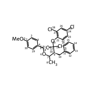 COc1ccc(COC(C)[C@H](Cc2ccccc2)C(C)(C)Oc2ccc(Cl)cc2Cl)cc1